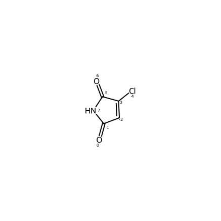 O=C1[C]=C(Cl)C(=O)N1